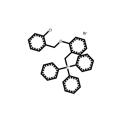 Clc1ccccc1COc1ccccc1C[P+](c1ccccc1)(c1ccccc1)c1ccccc1.[Br-]